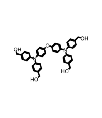 OCc1ccc(N(c2ccc(CO)cc2)c2ccc(Oc3ccc(N(c4ccc(CO)cc4)c4ccc(CO)cc4)cc3)cc2)cc1